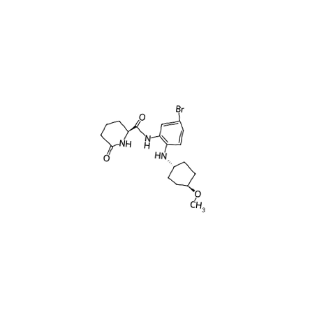 CO[C@H]1CC[C@H](Nc2ccc(Br)cc2NC(=O)[C@@H]2CCCC(=O)N2)CC1